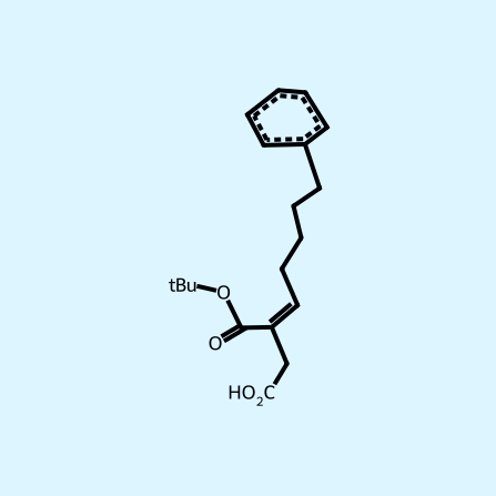 CC(C)(C)OC(=O)C(=CCCCCc1ccccc1)CC(=O)O